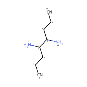 N#CCCC(N)C(N)CCC#N